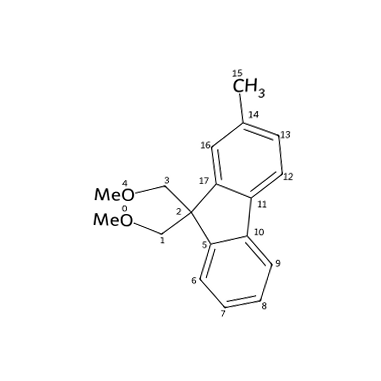 COCC1(COC)c2ccccc2-c2ccc(C)cc21